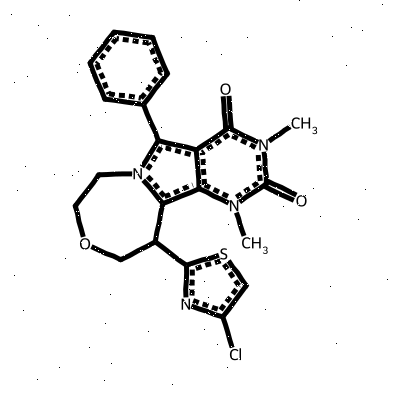 Cn1c(=O)c2c(-c3ccccc3)n3c(c2n(C)c1=O)C(c1nc(Cl)cs1)COCC3